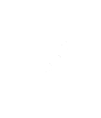 O=C(O)c1cc2sc(N3CCc4ccccc4C3)cc2oc1=O